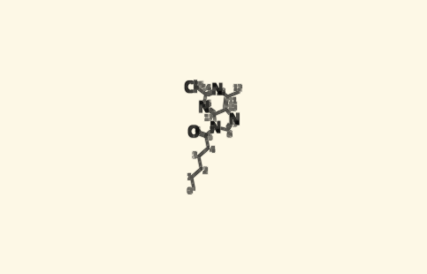 CCCCCC(=O)n1cnc2c(C)nc(Cl)nc21